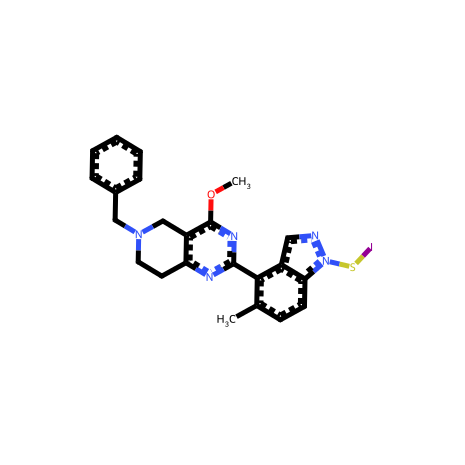 COc1nc(-c2c(C)ccc3c2cnn3SI)nc2c1CN(Cc1ccccc1)CC2